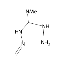 C=NNC(NC)NN